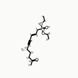 CCOP(=O)(C/C=C/C#C[C@@H](C)CCC(C)=O)OCC